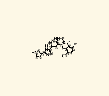 Fc1ccc(Cl)c(CN2CCNc3nnc(-c4nnc(C5CCNC5)[nH]4)cc32)c1Cl